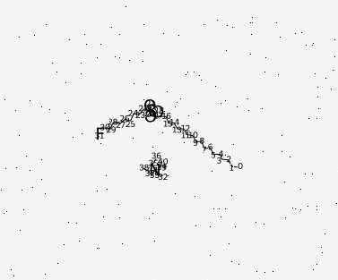 CCCCCCCCCCCCCCCCCCOS(=O)(=O)CCCCCCCCCF.CC[N+](CC)(CC)CC